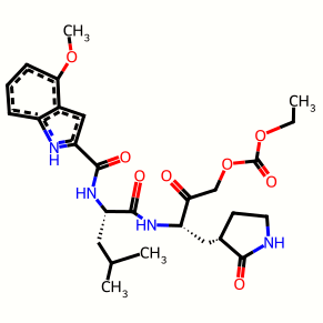 CCOC(=O)OCC(=O)[C@H](C[C@@H]1CCNC1=O)NC(=O)[C@H](CC(C)C)NC(=O)c1cc2c(OC)cccc2[nH]1